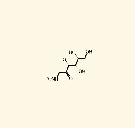 CC(=O)NCC(=O)[C@H](O)[C@@H](O)[C@H](O)CO